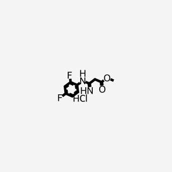 COC(=O)CC(=N)Nc1ccc(F)cc1F.Cl